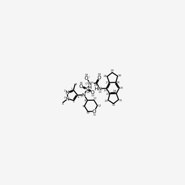 Cc1nn(C)cc1N(C1CCOCC1)S(=O)(=O)[NH+]([O-])C(=O)Nc1c2c(cc3c1CCC3)CCC2